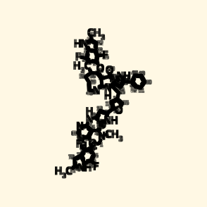 CCN(C)C(=O)c1c(Nc2cc(-c3cc(CCN(C)C(=O)C4=C(\Oc5cc(F)c6[nH]c(C)cc6c5F)C(C)C/C=C/N=C\4Nc4cc(-c5ccccc5)[nH]n4)co3)[nH]n2)ncnc1Oc1cc(F)c2[nH]c(C)cc2c1F